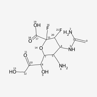 C=C(N)NC1C(N)C(C(O)C(=O)CO)OC(F)(C(=O)O)C1F